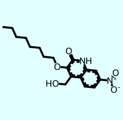 CCCCCCCCOc1c(CO)c2ccc([N+](=O)[O-])cc2[nH]c1=O